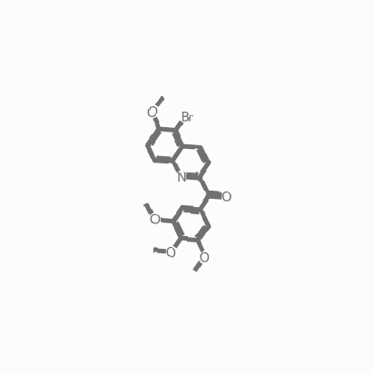 COc1cc(C(=O)c2ccc3c(Br)c(OC)ccc3n2)cc(OC)c1OC